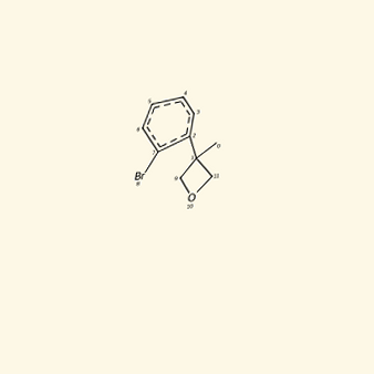 CC1(c2ccccc2Br)COC1